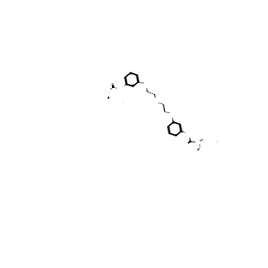 CN(C)C(=S)Oc1cccc(SCCSCCSc2cccc(OC(=S)N(C)C)c2)c1